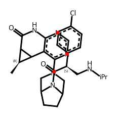 CC(C)NC[C@@H](C(=O)N1C2CCC1CN(c1ncnc3c1C1C(C(=O)N3)[C@@H]1C)C2)c1ccc(Cl)cc1